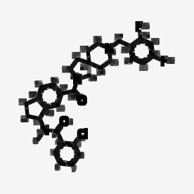 CN(C(=O)c1ccccc1Cl)C1CCc2ccc(C(=O)N3CCC4(CCN(Cc5ccc(F)cc5F)CC4)C3)cc21